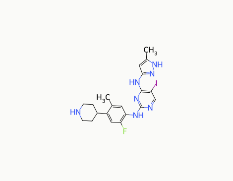 Cc1cc(Nc2nc(Nc3cc(C)c(C4CCNCC4)cc3F)ncc2I)n[nH]1